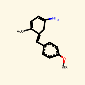 CCCCOc1ccc(C=C2CC(N)=CC=C2OC(C)=O)cc1